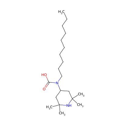 CCCCCCCCCCN(C(=O)O)C1CC(C)(C)NC(C)(C)C1